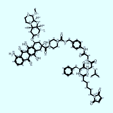 CO[C@H]1OCCN2[C@@H]1O[C@@H]1[C@H](C)OC(O[C@H]3C[C@](O)(C(=O)N4CCN(C(=O)OCc5ccc(NC(=O)CNC(=O)[C@H](CC(C)C)NC(=O)[C@H](Cc6ccccc6)NC(=O)CCCCCN6C(=O)C=CC6=O)cc5)CC4)Cc4c(O)c5c(c(O)c43)C(=O)c3c(N)cccc3C5=O)C[C@@H]12